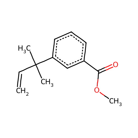 C=CC(C)(C)c1cccc(C(=O)OC)c1